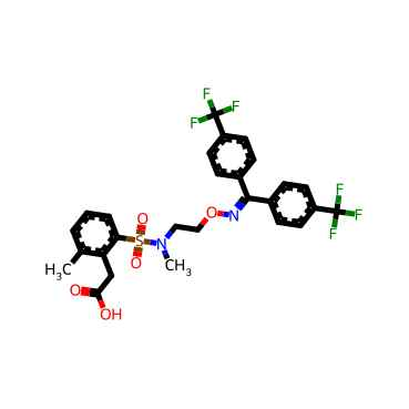 Cc1cccc(S(=O)(=O)N(C)CCON=C(c2ccc(C(F)(F)F)cc2)c2ccc(C(F)(F)F)cc2)c1CC(=O)O